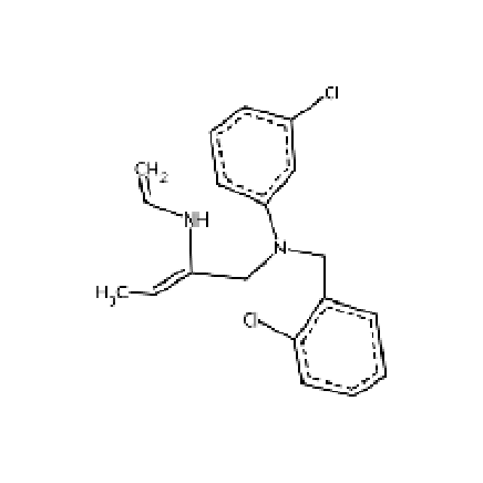 C=CN/C(=C\C)CN(Cc1ccccc1Cl)c1cccc(Cl)c1